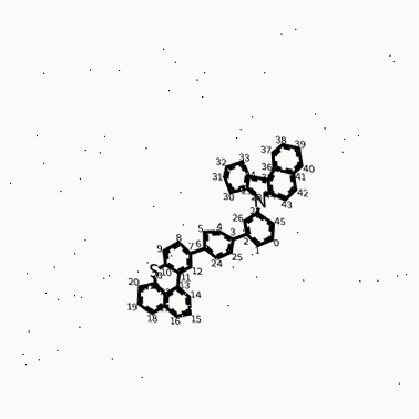 c1cc(-c2ccc(-c3ccc4c(c3)-c3cccc5cccc(c35)S4)cc2)cc(-n2c3ccccc3c3c4ccccc4ccc32)c1